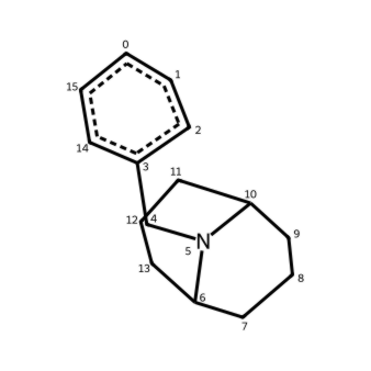 c1ccc(CN2C3CCCC2CCC3)cc1